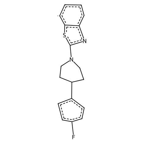 Fc1ccc(C2CCN(c3nc4ccc[c]c4s3)CC2)cc1